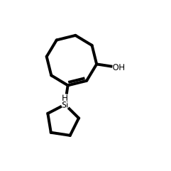 OC1C=C([SiH]2CCCC2)CCCCC1